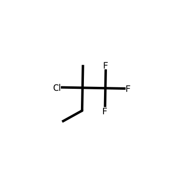 CCC(C)(Cl)C(F)(F)F